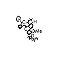 COc1c(O[Si](C(C)C)(C(C)C)C(C)C)ccc2c1-c1ccc3c(c1/C(=C/c1ccccc1C(=O)N1CCCCC1)O2)C(C)=CC(C)(C)N3